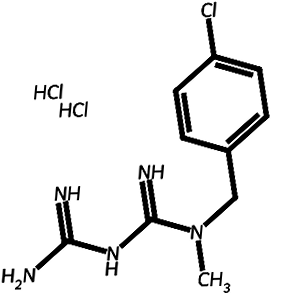 CN(Cc1ccc(Cl)cc1)C(=N)NC(=N)N.Cl.Cl